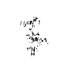 CNC1(C(=O)NCCN(C)C)CCNCC1